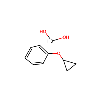 OBO.c1ccc(OC2CC2)cc1